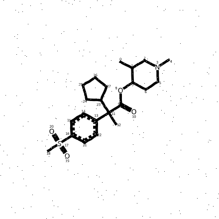 CC1CN(C)CCC1OC(=O)C(C)(c1ccc(S(C)(=O)=O)cc1)C1CCCC1